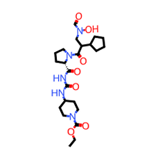 CCOC(=O)N1CCC(NC(=O)NC(=O)[C@@H]2CCCN2C(=O)C(CN(O)C=O)C2CCCC2)CC1